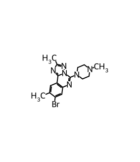 Cc1nc2c3cc(C)c(Br)cc3nc(N3CCN(C)CC3)n2n1